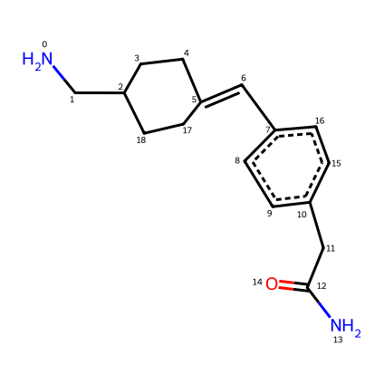 NCC1CCC(=Cc2ccc(CC(N)=O)cc2)CC1